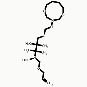 C=CCOCN(C=O)C(C)(C)C(C)(C)COCON1COCCCCOC1